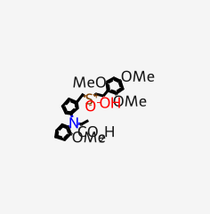 COc1cc(OC)c(C(O)C[S+]([O-])Cc2cccc(N(c3ccccc3OC)C(C)C(=O)O)c2)c(OC)c1